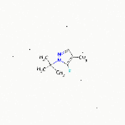 Cc1cnn(C(C)(C)C)c1F